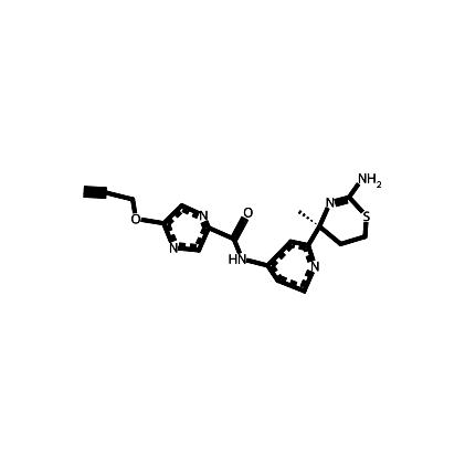 C#CCOc1cnc(C(=O)Nc2ccnc([C@]3(C)CCSC(N)=N3)c2)cn1